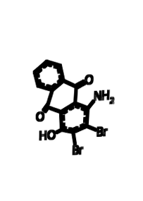 Nc1c(Br)c(Br)c(O)c2c1C(=O)c1ccccc1C2=O